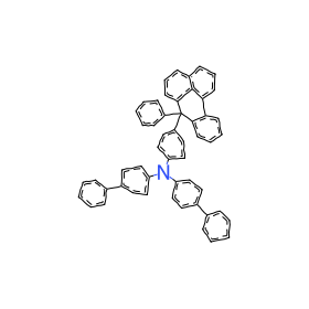 c1ccc(-c2ccc(N(c3ccc(-c4ccccc4)cc3)c3ccc(C4(c5ccccc5)c5ccccc5-c5cccc6cccc4c56)cc3)cc2)cc1